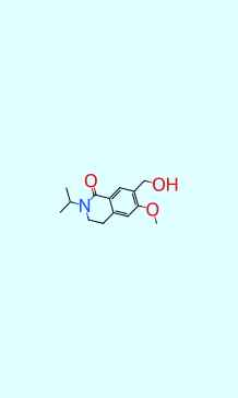 COc1cc2c(cc1CO)C(=O)N(C(C)C)CC2